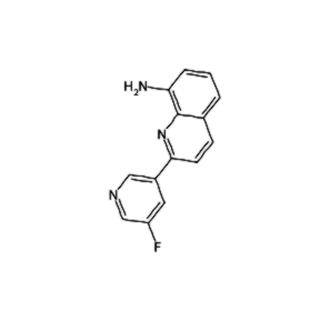 Nc1cccc2ccc(-c3cncc(F)c3)nc12